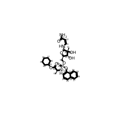 C[C@H](NP(=S)(OC[C@H]1O[C@@H](N/C=C\C(N)=O)[C@](C)(O)[C@@H]1O)Oc1cccc2ccccc12)C(=O)OC1CCCCC1